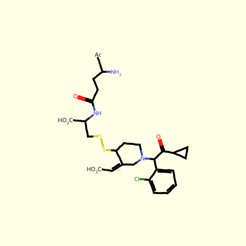 CC(=O)C(N)CCC(=O)NC(CSSC1CCN(C(C(=O)C2CC2)c2ccccc2Cl)C/C1=C/C(=O)O)C(=O)O